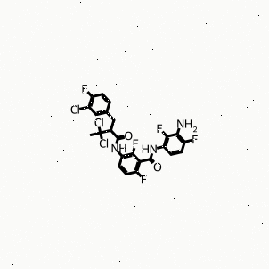 CC(Cl)(Cl)C(Cc1ccc(F)c(Cl)c1)C(=O)Nc1ccc(F)c(C(=O)Nc2ccc(F)c(N)c2F)c1F